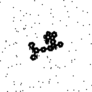 c1ccc(-c2nc3ccc(-c4ccc(-c5cc(-c6ccccn6)nc(-c6ccccn6)c5)cc4)cc3c3cc4c(cc23)-c2ccccc2C42c3ccccc3Oc3ccccc32)cc1